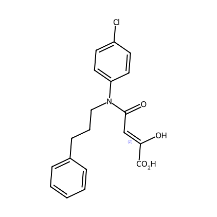 O=C(O)/C(O)=C/C(=O)N(CCCc1ccccc1)c1ccc(Cl)cc1